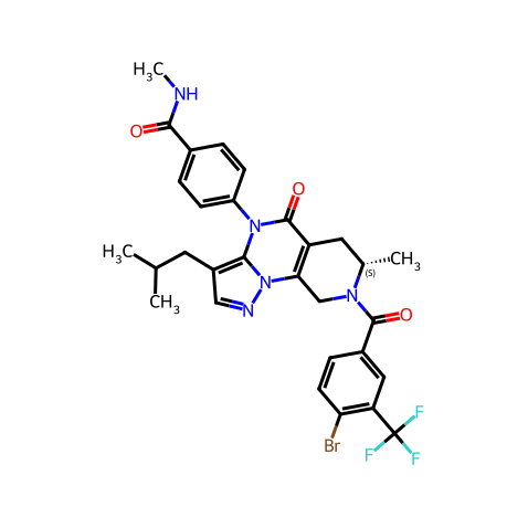 CNC(=O)c1ccc(-n2c(=O)c3c(n4ncc(CC(C)C)c24)CN(C(=O)c2ccc(Br)c(C(F)(F)F)c2)[C@@H](C)C3)cc1